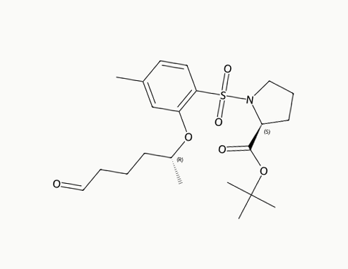 Cc1ccc(S(=O)(=O)N2CCC[C@H]2C(=O)OC(C)(C)C)c(O[C@H](C)CCCC=O)c1